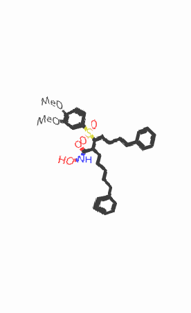 COc1ccc(S(=O)(=O)C(CCCCc2ccccc2)C(CCCCCc2ccccc2)C(=O)NO)cc1OC